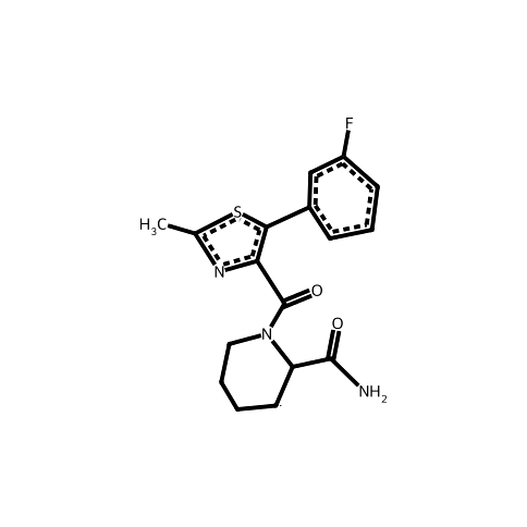 Cc1nc(C(=O)N2CCC[CH]C2C(N)=O)c(-c2cccc(F)c2)s1